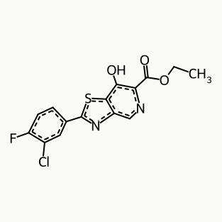 CCOC(=O)c1ncc2nc(-c3ccc(F)c(Cl)c3)sc2c1O